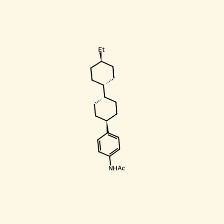 CC[C@H]1CC[C@H]([C@H]2CC[C@H](c3ccc(NC(C)=O)cc3)CC2)CC1